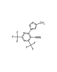 Cc1ccn(-c2nc(C(F)(F)F)cc(C(F)(F)F)c2C#N)c1